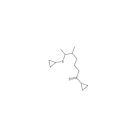 CC(C[CH]CC(=S)C1CC1)C(C)SC1CC1